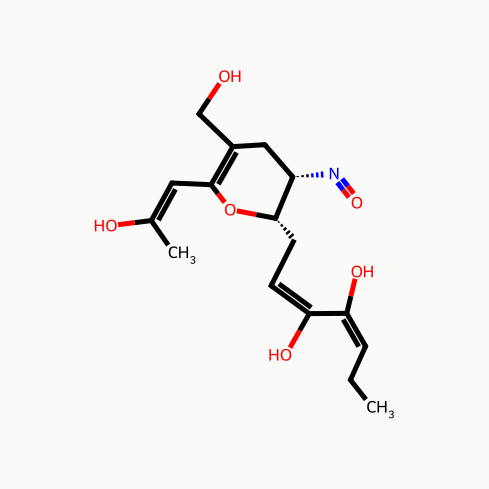 CC/C=C(O)\C(O)=C/C[C@@H]1OC(/C=C(\C)O)=C(CO)C[C@@H]1N=O